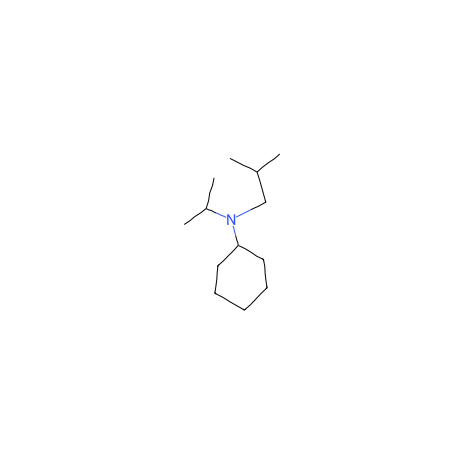 CC(C)CN(C(C)C)C1CCCCC1